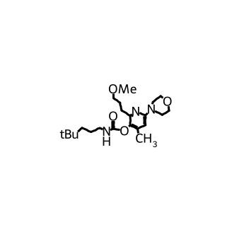 COCCCc1nc(N2CCOCC2)cc(C)c1OC(=O)NCCCC(C)(C)C